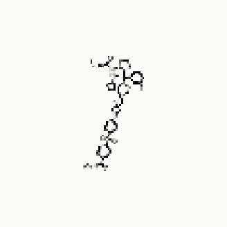 C=CC(=O)N[C@H]1CCC[C@@H]1[C@](CN1CCC1)(c1cccc(F)c1)C1CCN(CC2(F)CN(c3ccc(S(=O)(=O)c4ccc(C(=O)NC)cc4)cc3)C2)CC1